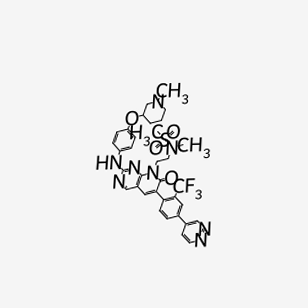 CN1CCCC(Oc2ccc(Nc3ncc4cc(-c5ccc(-c6ccnnc6)cc5C(F)(F)F)c(=O)n(CCN(C)S(C)(=O)=O)c4n3)cc2)C1